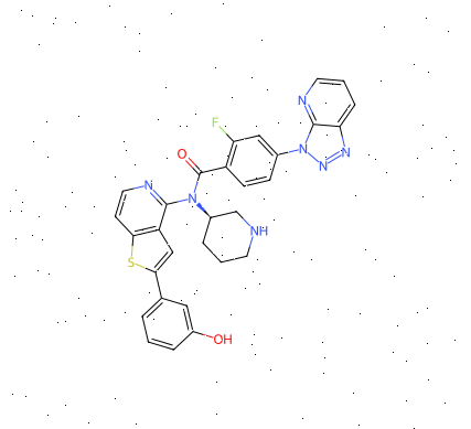 O=C(c1ccc(-n2nnc3cccnc32)cc1F)N(c1nccc2sc(-c3cccc(O)c3)cc12)[C@@H]1CCCNC1